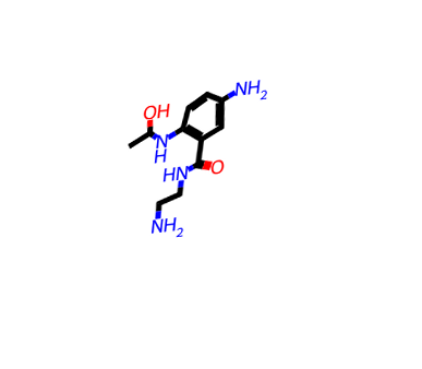 CC(O)Nc1ccc(N)cc1C(=O)NCCN